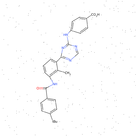 Cc1c(NC(=O)c2ccc(C(C)(C)C)cc2)cccc1-c1ncnc(Nc2ccc(C(=O)O)cc2)n1